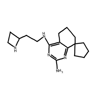 Nc1nc(NCCC2CCN2)c2c(n1)C1(CCCC1)CCC2